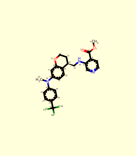 COC(=O)c1ccncc1NC[C@@H]1CCOc2cc(N(C)c3ccc(C(F)(F)F)cc3)ccc21